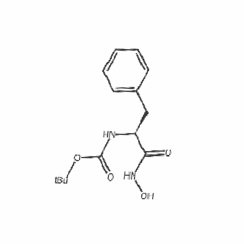 CC(C)(C)OC(=O)N[C@@H](Cc1ccccc1)C(=O)NO